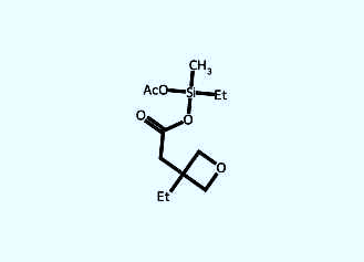 CCC1(CC(=O)O[Si](C)(CC)OC(C)=O)COC1